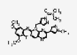 COc1cc(/N=c2\ccc3ncc(-c4cnn(C)c4)nc3n2Cc2cnn([S+]([O-])N(C)C)c2)c(F)c(OC)c1